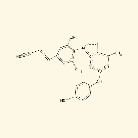 C#C/C=C/c1cc(C)c(-n2ccc3c(C)nc(Nc4ccc(C#N)cc4)nc32)c(C)c1